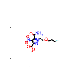 COC(=O)c1nn(CCOCCCF)c(C(N)=O)c1[N+](=O)[O-]